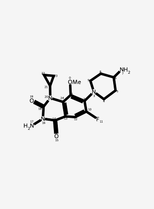 COc1c(N2CCC(N)CC2)c(F)cc2c(=O)n(N)c(=O)n(C3CC3)c12